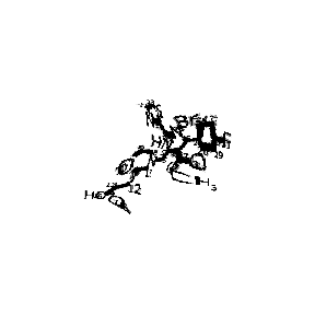 COC(=O)C1=C(CN2CCO[C@@H](CCC(=O)O)C2)NC(c2nccs2)=N[C@H]1c1ccc(F)cc1Br